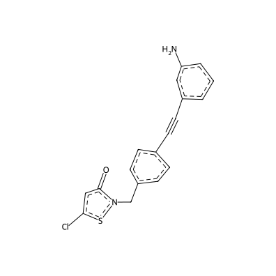 Nc1cccc(C#Cc2ccc(Cn3sc(Cl)cc3=O)cc2)c1